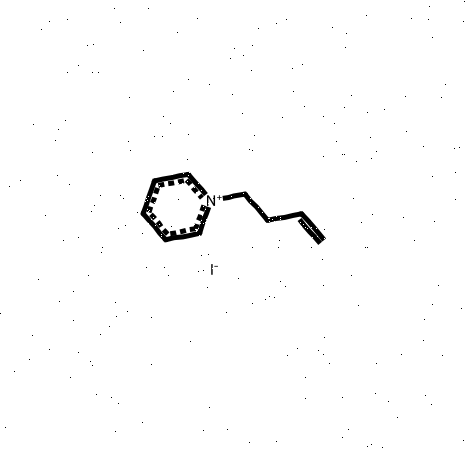 C=CCC[n+]1ccccc1.[I-]